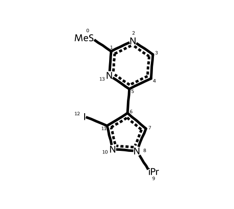 CSc1nccc(-c2cn(C(C)C)nc2I)n1